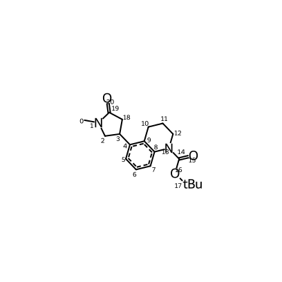 CN1CC(c2cccc3c2CCCN3C(=O)OC(C)(C)C)CC1=O